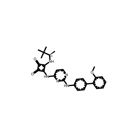 COc1ccccc1-c1ccc(Nc2nccc(Nc3c(N[C@H](C)C(C)(C)C)c(=O)c3=O)n2)cc1